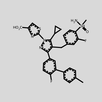 Cc1ccc(-c2cc(-c3nn(-c4nc(C(=O)O)cs4)c(C4CC4)c3Cc3ccc([SH](C)(N)=O)c(F)c3)ccc2F)cc1